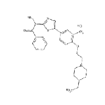 CCCCN(C(=O)c1ccccc1)c1nnc(-c2ccc(OCCN3CCC(CC(=O)O)CC3)c(C(F)(F)F)c2)s1.Cl